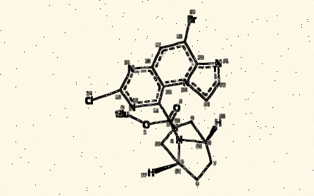 CC(C)(C)OC(=O)N1[C@@H]2CC[C@H]1CN(c1nc(Cl)nc3cc(Br)c4nccn4c13)C2